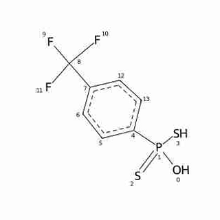 OP(=S)(S)c1ccc(C(F)(F)F)cc1